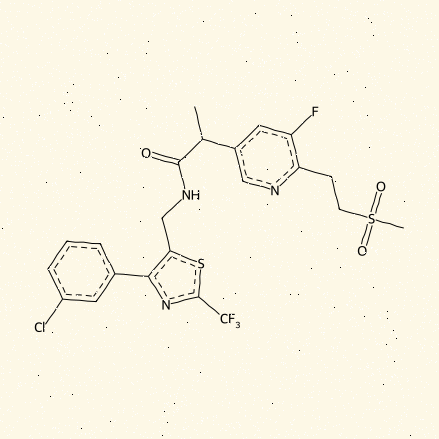 CC(C(=O)NCc1sc(C(F)(F)F)nc1-c1cccc(Cl)c1)c1cnc(CCS(C)(=O)=O)c(F)c1